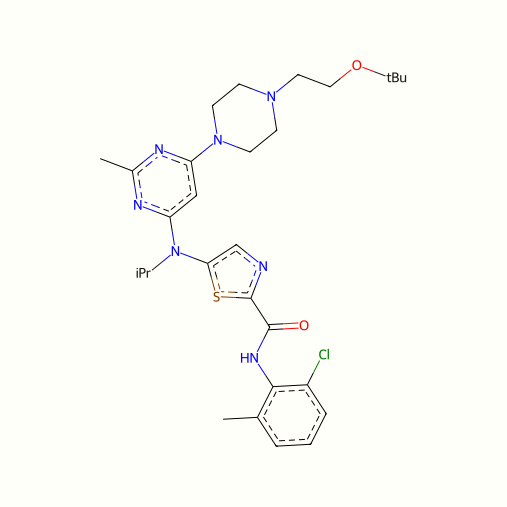 Cc1nc(N2CCN(CCOC(C)(C)C)CC2)cc(N(c2cnc(C(=O)Nc3c(C)cccc3Cl)s2)C(C)C)n1